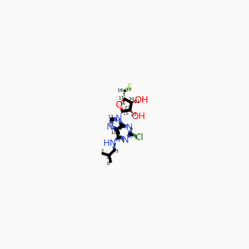 CC(C)CNc1nc(Cl)nc2c1ncn2[C@@H]1O[C@H](CF)[C@@H](O)[C@H]1O